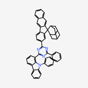 c1ccc(-c2nc(-c3ccc4c(c3)C3(c5cc6ccccc6cc5-4)C4CC5CC(C4)CC3C5)nc(-c3cccc4c5ccccc5n(-c5ccccc5)c34)n2)cc1